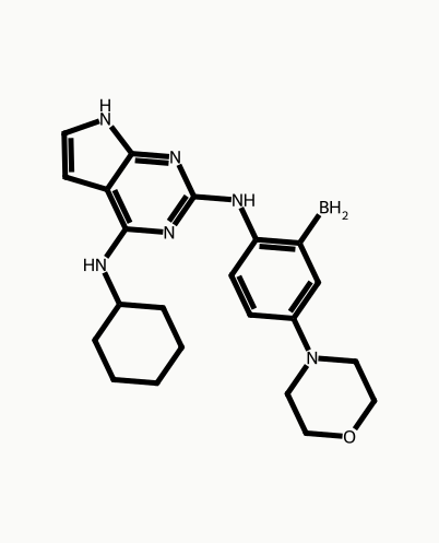 Bc1cc(N2CCOCC2)ccc1Nc1nc(NC2CCCCC2)c2cc[nH]c2n1